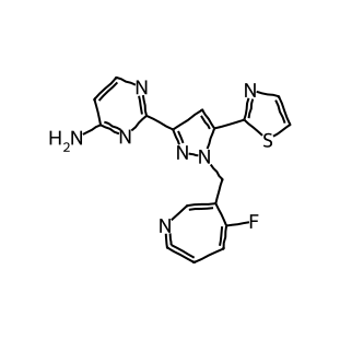 Nc1ccnc(-c2cc(-c3nccs3)n(CC3=CN=C=CC=C3F)n2)n1